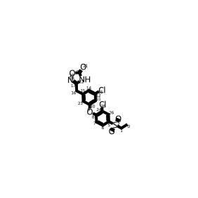 CCS(=O)(=O)c1ccc(Oc2cc(Cl)cc(Cc3noc(=O)[nH]3)c2)c(Cl)c1